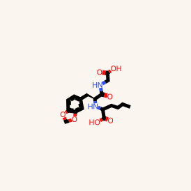 CCCCC(N[C@@H](Cc1ccc2c(c1)OCO2)C(=O)NCC(=O)O)C(=O)O